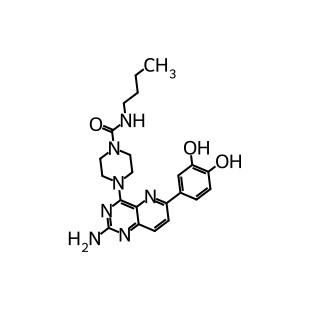 CCCCNC(=O)N1CCN(c2nc(N)nc3ccc(-c4ccc(O)c(O)c4)nc23)CC1